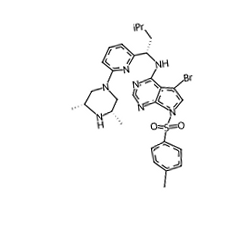 Cc1ccc(S(=O)(=O)n2cc(Br)c3c(N[C@@H](CC(C)C)c4cccc(N5C[C@@H](C)N[C@@H](C)C5)n4)ncnc32)cc1